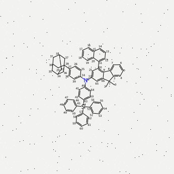 CC1(C)c2ccccc2-c2c(-c3cccc4ccccc34)cc(N(c3ccc(C45CC6CC(CC(C6)C4)C5)cc3)c3ccc([Si](c4ccccc4)(c4ccccc4)c4ccccc4)cc3)cc21